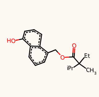 CCC(C)(C(=O)OCc1cccc2c(O)cccc12)C(C)C